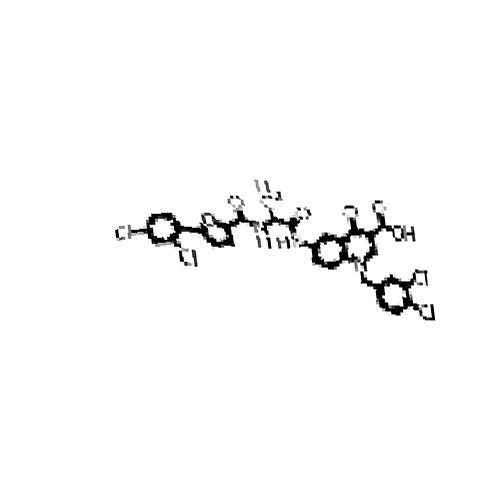 C[C@H](NC(=O)c1ccc(-c2ccc(Cl)cc2Cl)o1)C(=O)Nc1ccc2c(c1)c(=O)c(C(=O)O)cn2Cc1ccc(Cl)c(Cl)c1